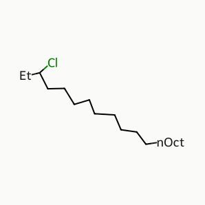 CCCCCCCCCCCCCCCCCC(Cl)CC